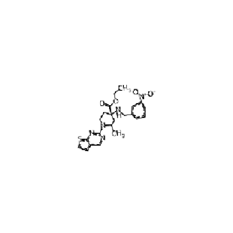 CCOC(=O)C1(NCc2cccc([N+](=O)[O-])c2)CCN(c2ncc3ccsc3n2)C(C)C1